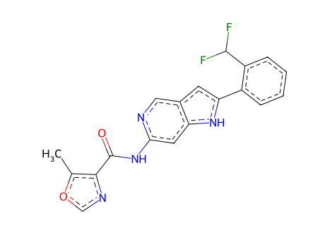 Cc1ocnc1C(=O)Nc1cc2[nH]c(-c3ccccc3C(F)F)cc2cn1